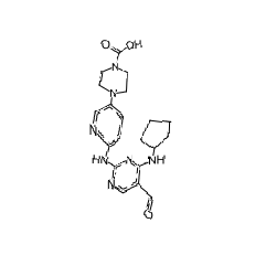 O=Cc1cnc(Nc2ccc(N3CCN(C(=O)O)CC3)cn2)nc1NC1CCCC1